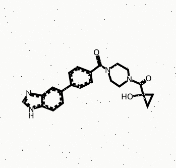 O=C(c1ccc(-c2ccc3[nH]cnc3c2)cc1)N1CCN(C(=O)C2(O)CC2)CC1